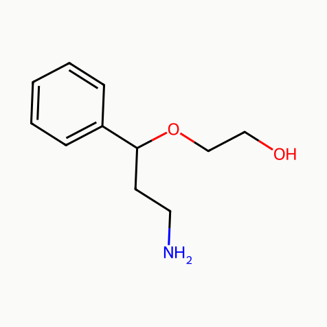 NCCC(OCCO)c1ccccc1